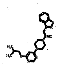 CC(C)COc1cc(N2CCN(C(=O)Cc3noc4ccccc34)CC2)ncn1